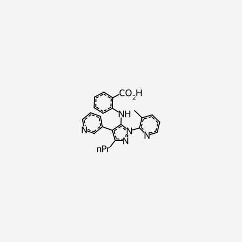 CCCc1nn(-c2ncccc2C)c(Nc2ccccc2C(=O)O)c1-c1cccnc1